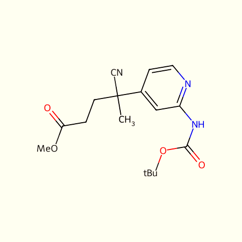 COC(=O)CCC(C)(C#N)c1ccnc(NC(=O)OC(C)(C)C)c1